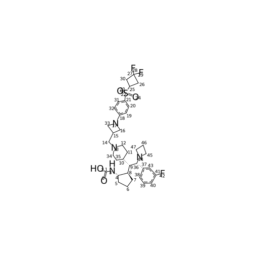 O=C(O)N[C@H]1CCC[C@@H]1[C@H](C1CCN(CC2CN(c3ccc(S(=O)(=O)C4CC(F)(F)C4)cc3)C2)CC1)[C@@H](c1cccc(F)c1)N1CCC1